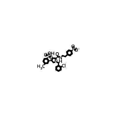 Cc1ccc(S(=O)(=O)O)c([C@H]2C[C@@H](C(=O)NCCc3ccc([N+](=O)[O-])cc3)N(Cc3ccccc3Cl)C2)c1